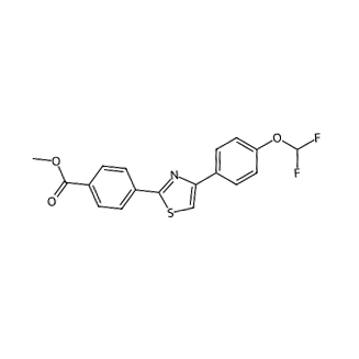 COC(=O)c1ccc(-c2nc(-c3ccc(OC(F)F)cc3)cs2)cc1